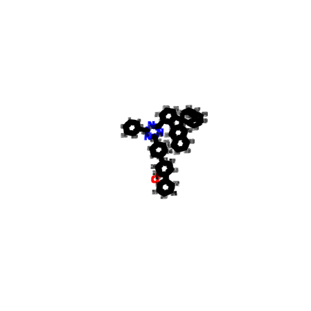 c1ccc(-c2nc(-c3ccc(-c4ccc5c(c4)oc4ccccc45)cc3)nc(-c3cccc4c3-c3cc5ccccc5cc3C43C4CC5CC(C4)CC3C5)n2)cc1